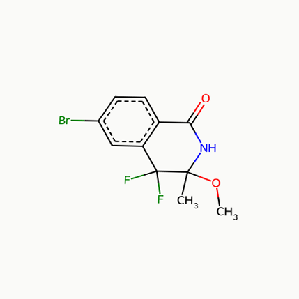 COC1(C)NC(=O)c2ccc(Br)cc2C1(F)F